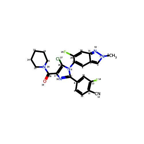 Cn1cc2cc(-n3c(-c4ccc(C#N)c(F)c4)nc(C(=O)N4CCCCC4)c3Cl)c(F)cc2n1